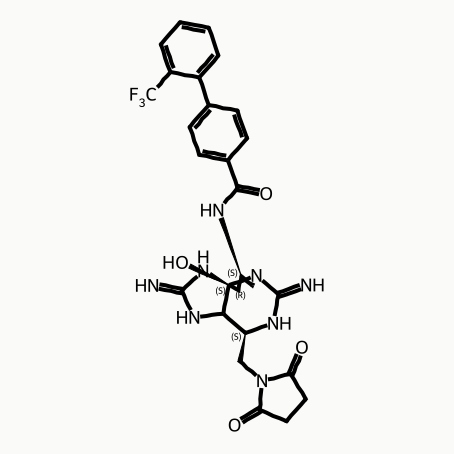 N=C1NC2[C@H](CN3C(=O)CCC3=O)NC(=N)N3C[C@H](NC(=O)c4ccc(-c5ccccc5C(F)(F)F)cc4)[C@@H](O)[C@]23N1